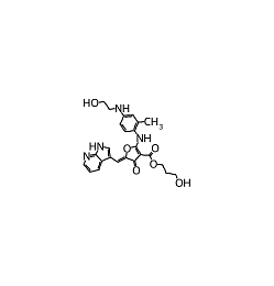 Cc1cc(NCCO)ccc1NC1=C(C(=O)OCCCO)C(=O)C(=Cc2c[nH]c3ncccc23)O1